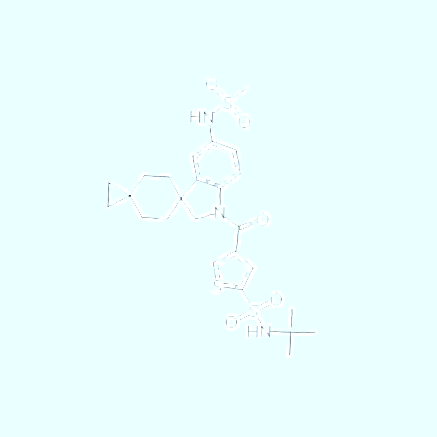 CC(C)(C)NS(=O)(=O)c1cc(C(=O)N2CC3(CCC4(CC4)CC3)c3cc(NS(C)(=O)=O)ccc32)cs1